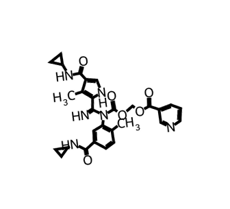 Cc1ccc(C(=O)NC2CC2)cc1N(C(=N)c1[nH]cc(C(=O)NC2CC2)c1C)C(=O)OCOC(=O)c1cccnc1